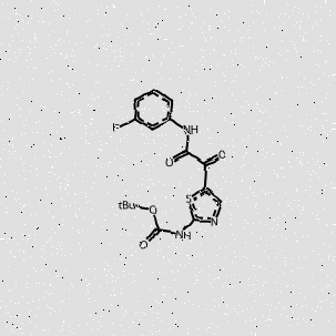 CC(C)(C)OC(=O)Nc1ncc(C(=O)C(=O)Nc2cccc(F)c2)s1